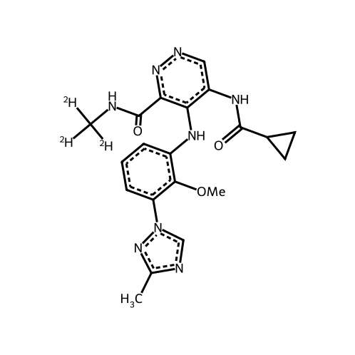 [2H]C([2H])([2H])NC(=O)c1nncc(NC(=O)C2CC2)c1Nc1cccc(-n2cnc(C)n2)c1OC